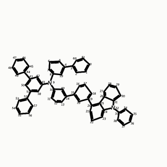 c1ccc(-c2cccc(N(c3cccc(-c4cccc(-c5cccc6c5c5ccccc5n6-c5ccccc5)c4)c3)c3cc(-c4ccccc4)cc(-c4ccccc4)c3)c2)cc1